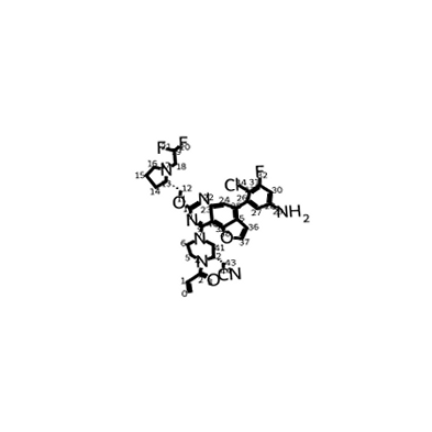 C=CC(=O)N1CCN(c2nc(OC[C@@H]3CCCN3CC(F)F)nc3cc(-c4cc(N)cc(F)c4Cl)c4ccoc4c23)C[C@@H]1CC#N